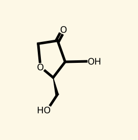 O=C1CO[C@H](CO)C1O